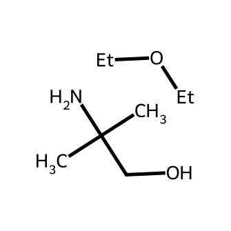 CC(C)(N)CO.CCOCC